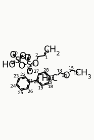 C=CCOS(=O)(=O)OS(=O)(=O)O.CCOCC.c1ccc(-c2ccccc2)cc1